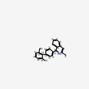 Cc1cc2ccccc2c(-c2ccc(-c3c(C)cccc3C)cc2)n1